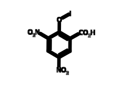 O=C(O)c1cc([N+](=O)[O-])cc([N+](=O)[O-])c1OI